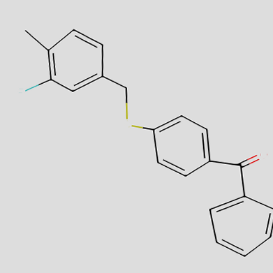 Cc1ccc(CSc2ccc(C(=O)c3ccccc3)cc2)cc1F